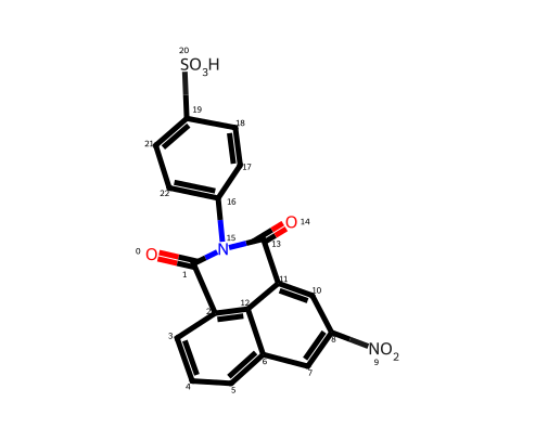 O=C1c2cccc3cc([N+](=O)[O-])cc(c23)C(=O)N1c1ccc(S(=O)(=O)O)cc1